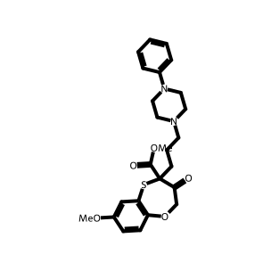 COC(=O)C1(CCCN2CCN(c3ccccc3)CC2)Sc2cc(OC)ccc2OCC1=O